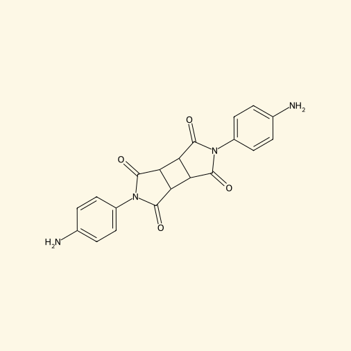 Nc1ccc(N2C(=O)C3C(C2=O)C2C(=O)N(c4ccc(N)cc4)C(=O)C32)cc1